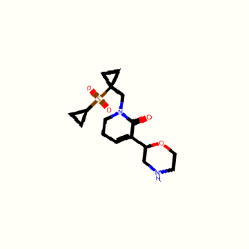 O=C1C(C2CNCCO2)=CCCN1CC1(S(=O)(=O)C2CC2)CC1